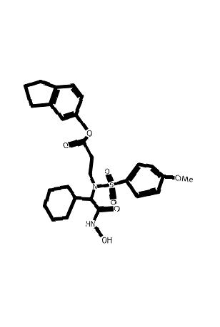 COc1ccc(S(=O)(=O)N(CCC(=O)Oc2ccc3c(c2)CCC3)C(C(=O)NO)C2CCCCC2)cc1